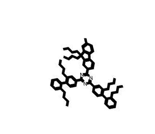 CCCCc1ccccc1-c1ccc(-c2nc(-c3ccc(-c4ccccc4CCCC)c(CCCC)c3)nc(C3C=CC4=C(C3)C(CCCC)(CCCC)c3cc(C)ccc34)n2)cc1CCCC